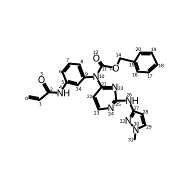 C=CC(=O)Nc1cccc(N(C(=O)OCc2ccccc2)c2ccnc(Nc3ccn(C)n3)n2)c1